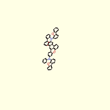 c1ccc(-c2ccccc2N(c2ccc3cc4c5c(cccc5c3c2)Oc2cc(N(c3ccccc3)c3cccc5c3oc3ccccc35)ccc2-4)c2cccc3c2oc2ccccc23)cc1